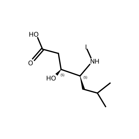 CC(C)C[C@H](NI)[C@@H](O)CC(=O)O